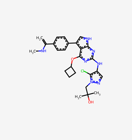 C=C(NC)c1ccc(-c2c[nH]c3nc(Nc4cnn(CC(C)(C)O)c4Cl)nc(OC4CCC4)c23)cc1